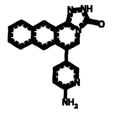 Nc1ccc(-c2cn3c(=O)[nH]nc3c3cc4ccccc4cc23)cn1